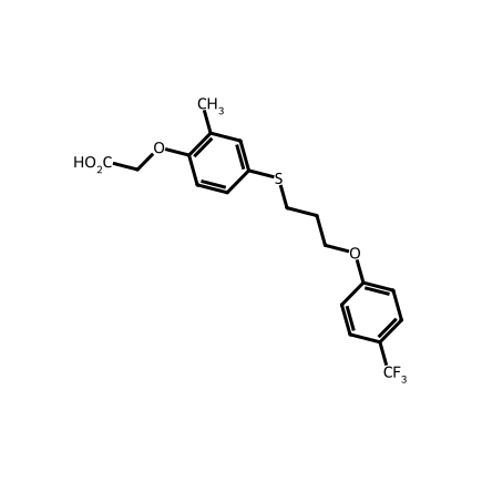 Cc1cc(SCCCOc2ccc(C(F)(F)F)cc2)ccc1OCC(=O)O